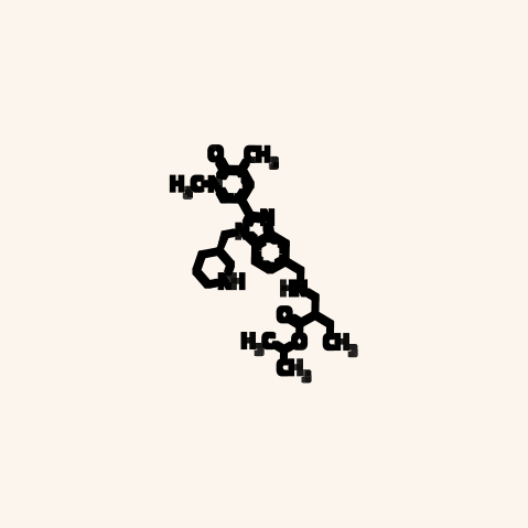 CCC(CNCc1ccc2c(c1)nc(-c1cc(C)c(=O)n(C)c1)n2C[C@@H]1CCCNC1)C(=O)OC(C)C